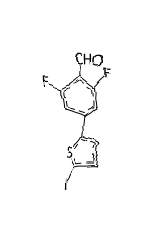 O=Cc1c(F)cc(-c2ccc(I)s2)cc1F